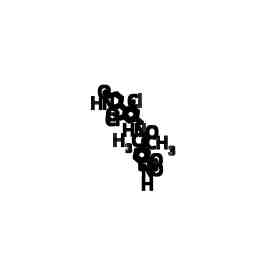 CC(C)(C(=O)NCc1cc(Cl)c(C2CCC(=O)NC2=O)c(Cl)c1)c1ccc2c(c1)S(=O)(=O)NC2